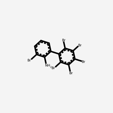 Nc1c(Br)cccc1-c1c(Br)c(Br)c(Br)c(Br)c1Br